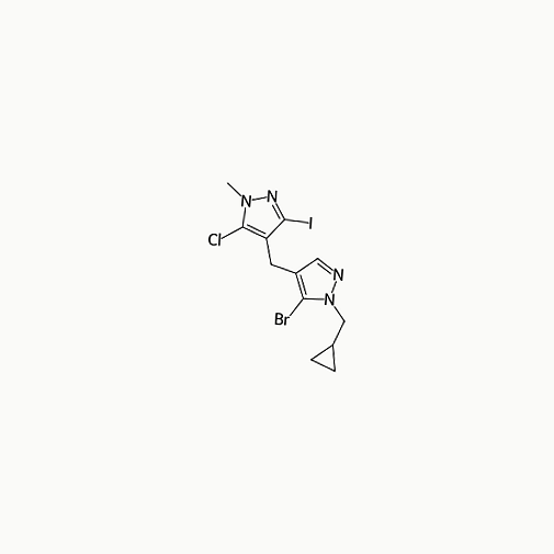 Cn1nc(I)c(Cc2cnn(CC3CC3)c2Br)c1Cl